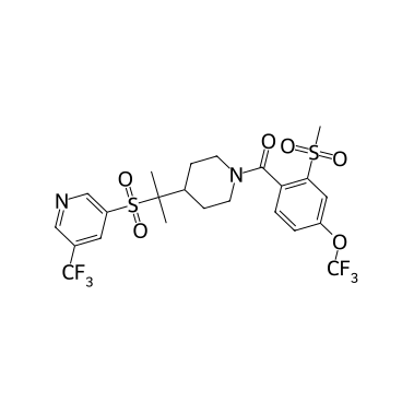 CC(C)(C1CCN(C(=O)c2ccc(OC(F)(F)F)cc2S(C)(=O)=O)CC1)S(=O)(=O)c1cncc(C(F)(F)F)c1